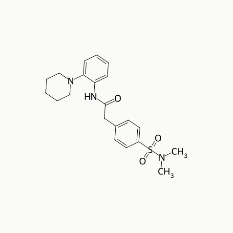 CN(C)S(=O)(=O)c1ccc(CC(=O)Nc2ccccc2N2CCCCC2)cc1